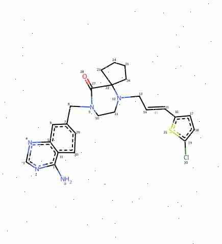 Nc1ncnc2cc(CN3CCN(C/C=C/c4ccc(Cl)s4)C4(CCCC4)C3=O)ccc12